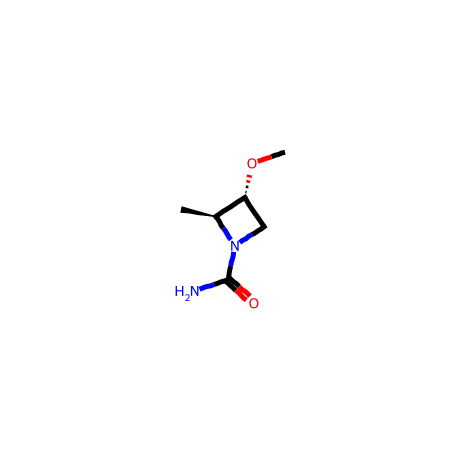 CO[C@@H]1CN(C(N)=O)[C@H]1C